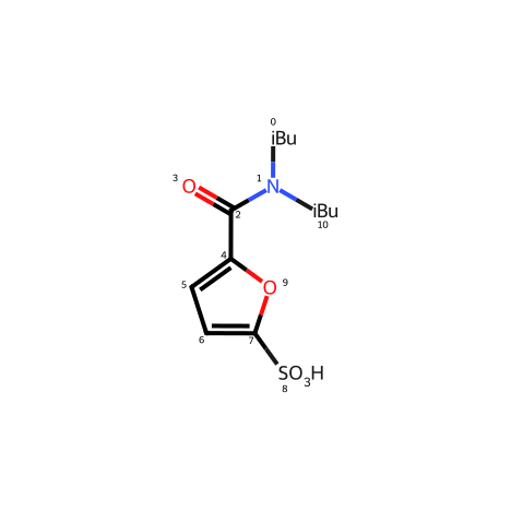 CCC(C)N(C(=O)c1ccc(S(=O)(=O)O)o1)C(C)CC